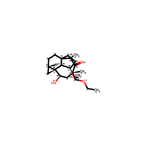 CCOC[C@]1(C)C[C@@H](O)[C@]23C[C@@H]2CCC2(CC[C@@H](OC)C23)[C@@H](C)C1=O